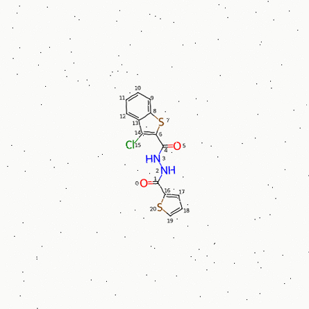 O=C(NNC(=O)c1sc2ccccc2c1Cl)c1cccs1